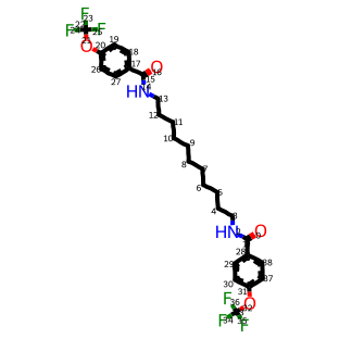 O=C(NCCCCCCCCCCCNC(=O)c1ccc(OC(F)(F)F)cc1)c1ccc(OC(F)(F)F)cc1